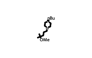 CCCCN1CCN(CCCC(C)(C)OC)CC1